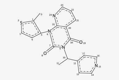 Cc1sccc1-n1c(=O)n(C(C)c2ccncc2)c(=O)c2cccnc21